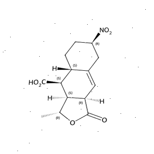 C[C@H]1OC(=O)[C@@H]2C=C3C[C@H]([N+](=O)[O-])CC[C@H]3[C@H](C(=O)O)[C@H]12